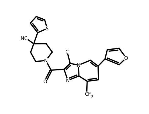 N#CC1(c2cccs2)CCN(C(=O)c2nc3c(C(F)(F)F)cc(-c4ccoc4)cn3c2Cl)CC1